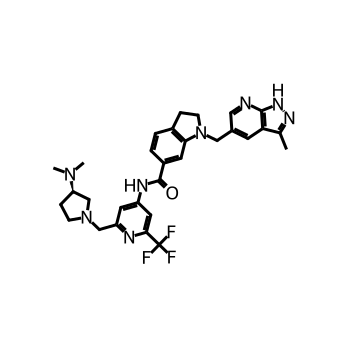 Cc1n[nH]c2ncc(CN3CCc4ccc(C(=O)Nc5cc(CN6CC[C@@H](N(C)C)C6)nc(C(F)(F)F)c5)cc43)cc12